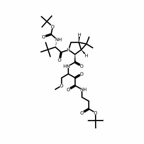 COCC(NC(=O)[C@@H]1[C@@H]2[C@H](CN1C(=O)[C@@H](NC(=O)OC(C)(C)C)C(C)(C)C)C2(C)C)C(=O)C(=O)NCCC(=O)OC(C)(C)C